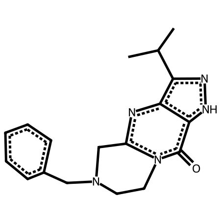 CC(C)c1n[nH]c2c(=O)n3c(nc12)CN(Cc1ccccc1)CC3